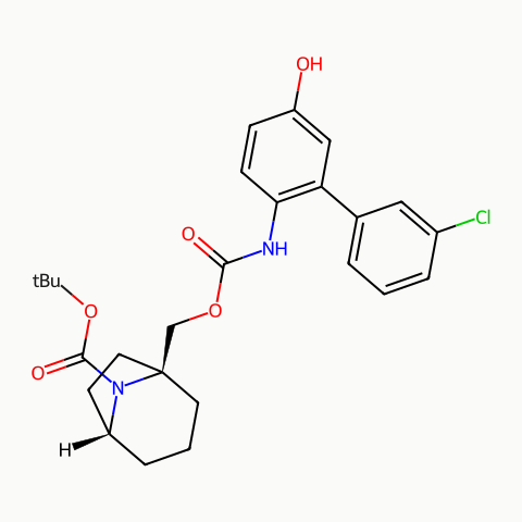 CC(C)(C)OC(=O)N1[C@@H]2CCC[C@@]1(COC(=O)Nc1ccc(O)cc1-c1cccc(Cl)c1)CC2